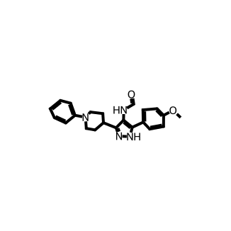 COc1ccc(-c2[nH]nc(C3CCN(c4ccccc4)CC3)c2NC=O)cc1